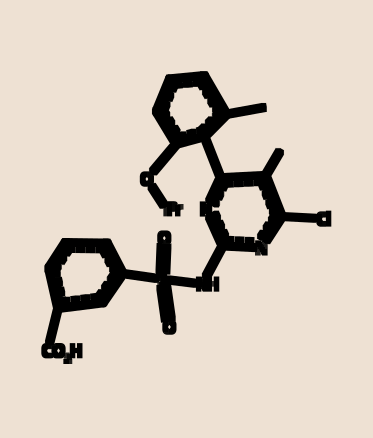 Cc1cccc(OC(C)C)c1-c1nc(NS(=O)(=O)c2cccc(C(=O)O)c2)nc(Cl)c1C